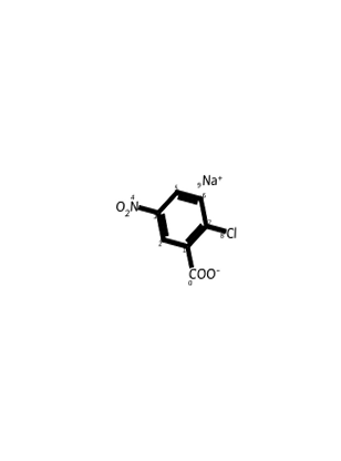 O=C([O-])c1cc([N+](=O)[O-])ccc1Cl.[Na+]